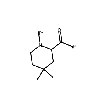 CC(C)C(=O)C1CC(C)(C)CCN1C(C)C